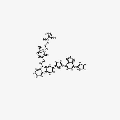 N=C(N)NCCC[C@H](NC(=O)OCC1c2ccccc2-c2ccc(-c3ccc(-c4ccc(-c5cccs5)c5nsnc45)s3)cc21)C(=O)O